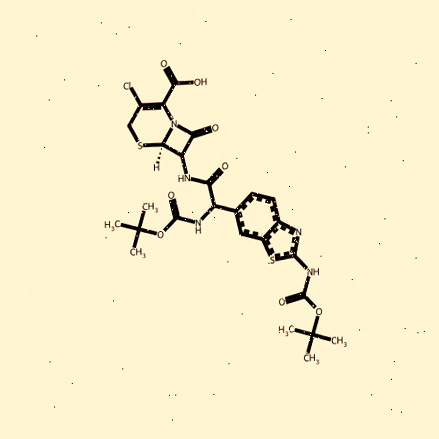 CC(C)(C)OC(=O)Nc1nc2ccc(C(NC(=O)OC(C)(C)C)C(=O)NC3C(=O)N4C(C(=O)O)=C(Cl)CS[C@H]34)cc2s1